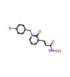 O=C(/C=C/c1cccn(Cc2ccc(Br)cc2)c1=O)NO